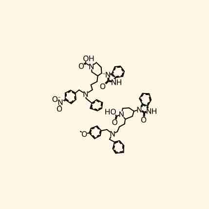 COc1ccc(CN(CCCC2CC(n3c(=O)[nH]c4ccccc43)CCN2C(=O)O)Cc2ccccc2)cc1.O=C(O)N1CC[C@H](n2c(=O)[nH]c3ccccc32)C(CCCN(Cc2ccccc2)Cc2ccc([N+](=O)[O-])cc2)C1